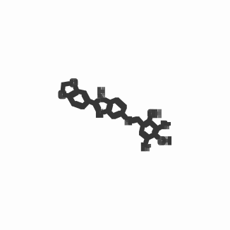 Oc1c(Br)cc(/C=N/c2ccc3[nH]c(-c4ccc5c(c4)OCO5)nc3c2)c(O)c1Br